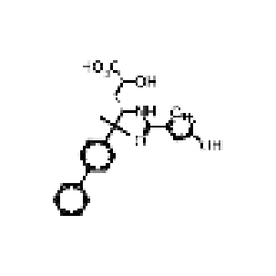 CC(C)(c1ccc(-c2ccccc2)cc1)[C@H](C[C@@H](O)C(=O)O)NC(=O)c1cc(O)no1